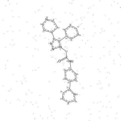 O=C(Cn1nnc(-c2ccncc2)c1-c1ccccc1)Nc1ccc(-c2ccccn2)cc1